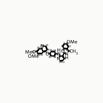 COc1cccc(C(C)NC(=O)c2cccnc2Nc2ccc(Oc3ccnc4cc(OC)c(OC)cc34)cc2)c1